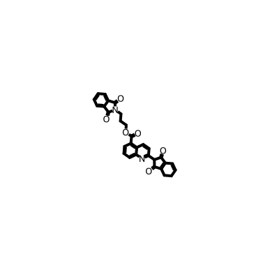 O=C(OCCCN1C(=O)c2ccccc2C1=O)c1cccc2nc(C3C(=O)C4=C(CCC=C4)C3=O)ccc12